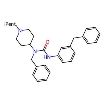 CCCC(C)N1CCC(N(Cc2ccccc2)C(=O)Nc2cccc(Cc3ccccc3)c2)CC1